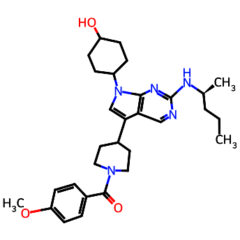 CCC[C@H](C)Nc1ncc2c(C3CCN(C(=O)c4ccc(OC)cc4)CC3)cn(C3CCC(O)CC3)c2n1